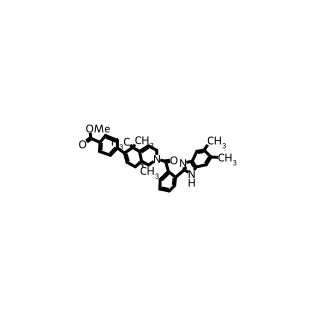 COC(=O)c1ccc(C2=CC[C@]3(C)CN(C(=O)c4ccccc4-c4nc5cc(C)c(C)cc5[nH]4)CC=C3C2(C)C)cc1